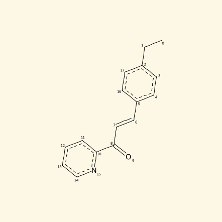 CCc1ccc(C=CC(=O)c2ccccn2)cc1